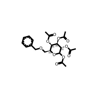 CC(=O)OC1O[C@@H](COCc2ccccc2)[C@@H](OC(C)=O)[C@@H](OC(C)=O)[C@@H]1OC(C)=O